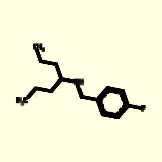 CCCC(CCC)NCc1ccc(F)cc1